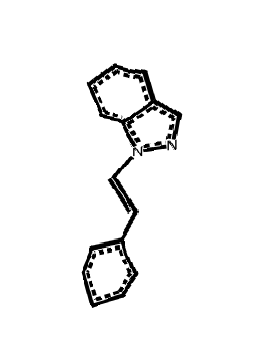 C(=Cn1ncc2ccccc21)c1ccccc1